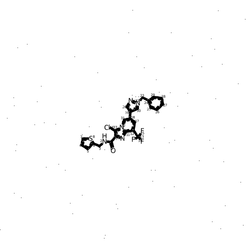 O=C(NCc1cccs1)c1nc2c(C(F)(F)F)cc(-c3cnn(Cc4ccccc4)c3)cn2c1Cl